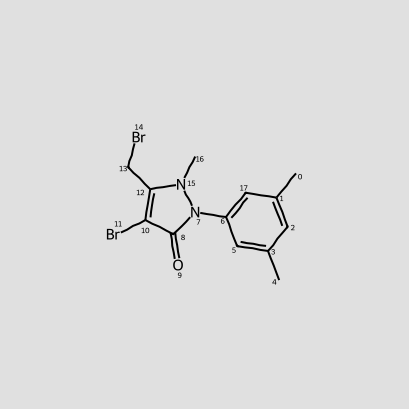 Cc1cc(C)cc(-n2c(=O)c(Br)c(CBr)n2C)c1